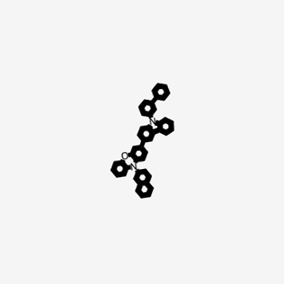 c1ccc(-c2cccc(-n3c4ccccc4c4cc(-c5ccc6c(c5)Oc5ccccc5N6c5ccc6ccccc6c5)ccc43)c2)cc1